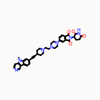 Cn1c2ccncc2c2ccc(C#CC3CCN(CCN4CCN(c5ccc6c(c5)C(=O)N(C5CCC(=O)NC5=O)C6=O)CC4)CC3)cc21